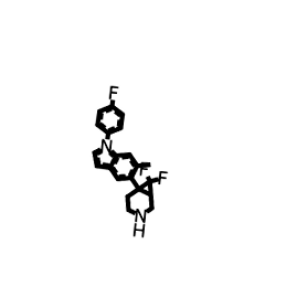 Cc1cc2c(ccn2-c2ccc(F)cc2)cc1C12CCNCC1C2(F)F